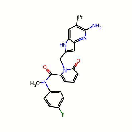 CC(C)c1cc2[nH]c(Cn3c(C(=O)N(C)c4ccc(F)cc4)cccc3=O)cc2nc1N